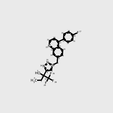 CCC(O)(c1cn(Cc2ccc3c(-c4ccc(F)cc4)ccnc3c2)nn1)C(F)(F)F